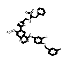 COc1cc2ncnc(Nc3ccc(OCc4cccc(F)c4)c(Cl)c3)c2cc1-c1csc(CNC(Cc2ccccn2)=S(=O)=O)n1